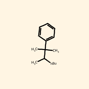 CCCCC(C)C(C)(C)c1[c]cccc1